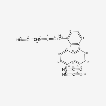 Cc1ccccc1.N=C=O.N=C=O.N=C=O.N=C=O.c1ccc2ccccc2c1